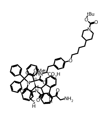 COC(=O)[C@@](C(=O)N[C@@H](Cc1ccc(OCCCCC2CCN(C(=O)OC(C)(C)C)CC2)cc1)C(=O)O)(C(c1ccccc1)C1c2ccccc2-c2ccccc21)N(C(=O)C(CS)NC(=O)CNC(=O)CN)C(c1ccccc1)(c1ccccc1)c1ccccc1